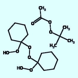 CC(=O)OOC(C)(C)C.OOC1(OOC2(OO)CCCCC2)CCCCC1